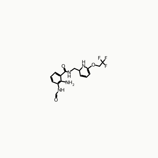 Nc1c(NC=O)cccc1C(=O)NCC1C=CC=C(OCC(F)(F)F)N1